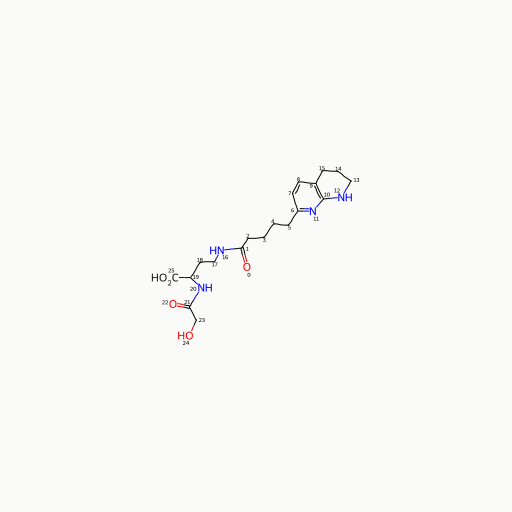 O=C(CCCCc1ccc2c(n1)NCCC2)NCCC(NC(=O)CO)C(=O)O